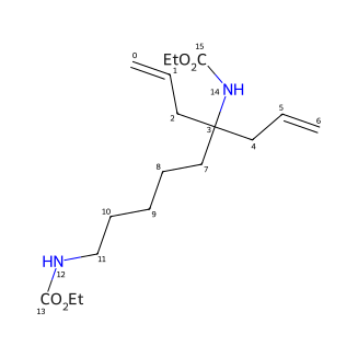 C=CCC(CC=C)(CCCCCNC(=O)OCC)NC(=O)OCC